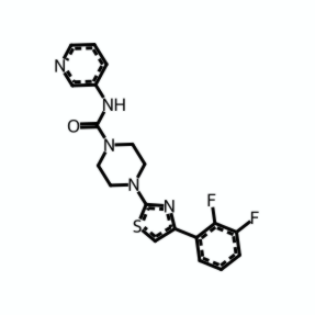 O=C(Nc1cccnc1)N1CCN(c2nc(-c3cccc(F)c3F)cs2)CC1